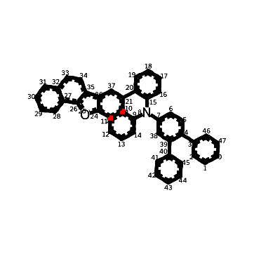 c1ccc(-c2ccc(N(c3ccccc3)c3ccccc3-c3ccc4oc5c6ccccc6ccc5c4c3)cc2-c2ccccc2)cc1